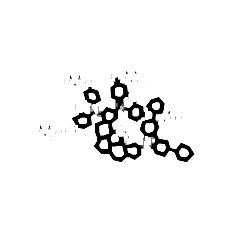 COc1ccc2c(c1)Oc1cc(OC)ccc1N2c1cc(N2c3ccc(OC)cc3Oc3cc(OC)ccc32)c2ccc3ccc4ccc5ccc(-n6c7ccc(-c8ccccc8)cc7c7cc(-c8ccccc8)ccc76)cc5c(=O)c4c3c(=O)c2c1